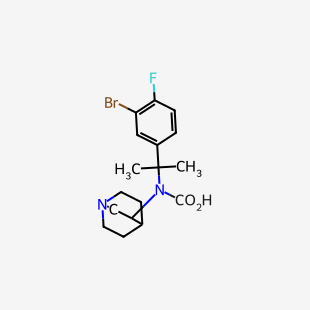 CC(C)(c1ccc(F)c(Br)c1)N(C(=O)O)C1CN2CCC1CC2